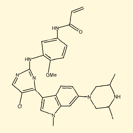 C=CC(=O)Nc1ccc(OC)c(Nc2ncc(Cl)c(-c3cn(C)c4cc(N5CC(C)NC(C)C5)ccc34)n2)c1